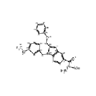 CCCCN(N)C(=O)c1ccc2c(c1)cc(COc1ccccc1)n2Cc1cccc(OC(F)(F)F)c1